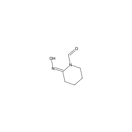 O=CN1CCCCC1=NO